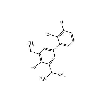 CCc1cc(-c2cccc(Cl)c2Cl)cc(C(C)C)c1O